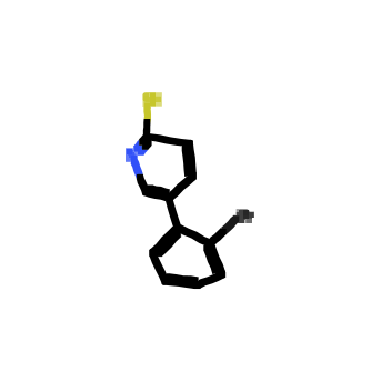 CC(C)c1ccccc1-c1ccc(S)nc1